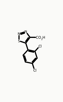 O=C(O)c1nnsc1-c1ccc(Cl)cc1Cl